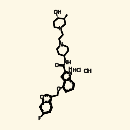 C[C@H]1CN(CCN2CCC(NC(=O)c3cc4c(OCc5coc6cc(F)ccc56)cccc4[nH]3)CC2)CC[C@@H]1O.Cl.Cl